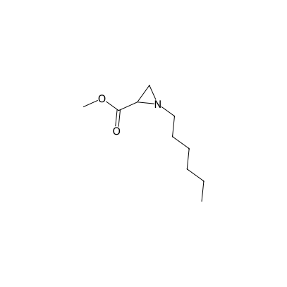 CCCCCCN1CC1C(=O)OC